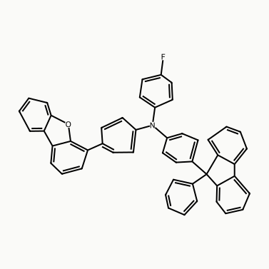 Fc1ccc(N(c2ccc(-c3cccc4c3oc3ccccc34)cc2)c2ccc(C3(c4ccccc4)c4ccccc4-c4ccccc43)cc2)cc1